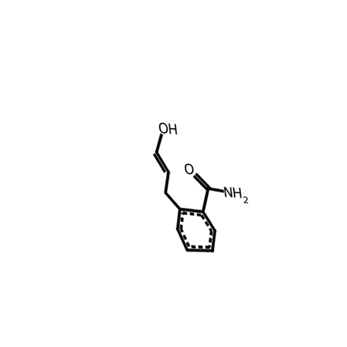 NC(=O)c1ccccc1CC=CO